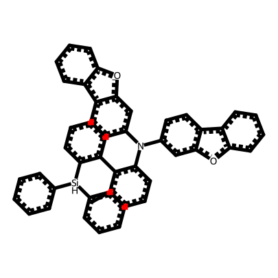 Cc1cccc(N(c2ccc3c(c2)oc2ccccc23)c2ccc3c(c2)oc2ccccc23)c1-c1ccccc1[SiH](c1ccccc1)c1ccccc1